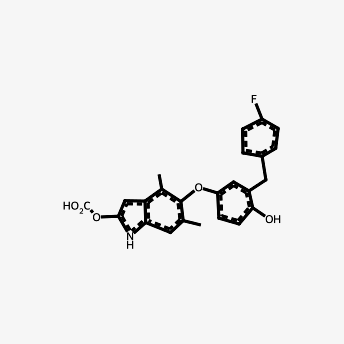 Cc1cc2[nH]c(OC(=O)O)cc2c(C)c1Oc1ccc(O)c(Cc2ccc(F)cc2)c1